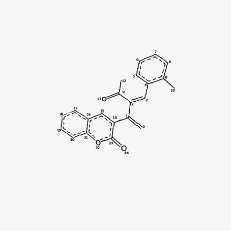 C=C(/C(=C/c1ccccc1C)C(C)=O)c1cc2ccccc2oc1=O